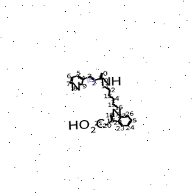 C=C(/C=C/c1cccnc1)NCCCCCCn1cc(CC(=O)O)c2ccccc21